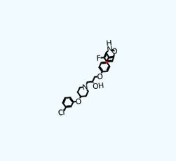 O[C@@H](COc1ccc(-c2c3ccc(F)c2NO3)cc1)CN1CCC(Oc2cccc(Cl)c2)CC1